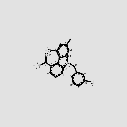 Cc1cc(O)c2c3c(C(N)=O)cccc3n(Cc3cccc(Cl)c3)c2c1